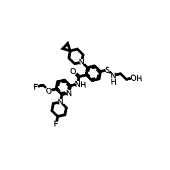 O=C(Nc1ccc(OCF)c(N2CCC(F)CC2)n1)c1ccc(SNCCO)cc1N1CCC2(CC1)CC2